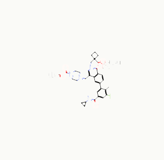 Cc1c(F)cc(C(=O)NC2CC2)cc1-c1ccc2c(=O)n(CC3(CO[Si](C)(C)C(C)(C)C)CCC3)cc(CN3CCN(C(=O)OC(C)(C)C)CC3)c2c1